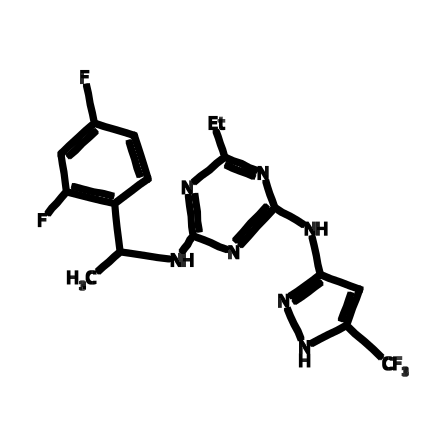 CCc1nc(Nc2cc(C(F)(F)F)[nH]n2)nc(NC(C)c2ccc(F)cc2F)n1